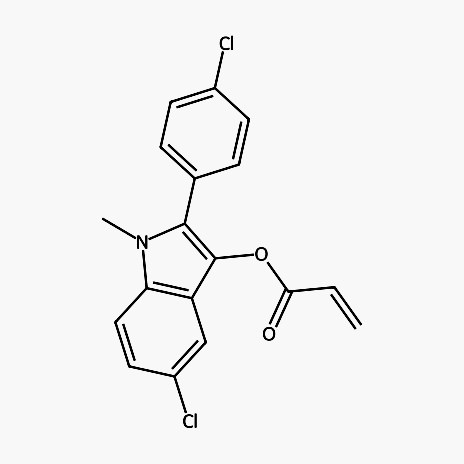 C=CC(=O)Oc1c(-c2ccc(Cl)cc2)n(C)c2ccc(Cl)cc12